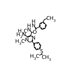 CCc1cccc(C(=N)OC(NC)C2=C(N)N(C)CC(c3ccc(SC(C)C)cc3)=N2)c1